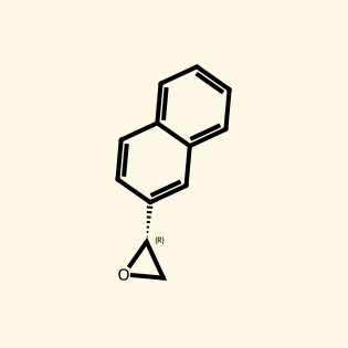 c1ccc2cc([C@@H]3CO3)ccc2c1